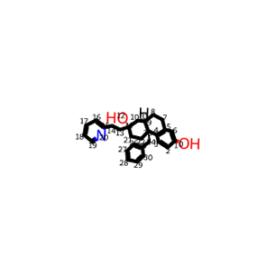 Oc1ccc2c(c1)CC[C@@H]1C[C@@](O)(CCc3ccccn3)CC[C@@]21Cc1ccccc1